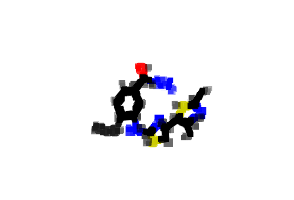 COc1ccc(C(N)=O)cc1Nc1nc(-c2sc(C)nc2C)cs1